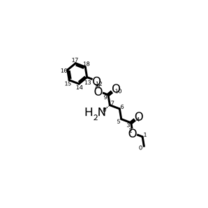 CCOC(=O)CC[C@H](N)C(=O)OOc1ccccc1